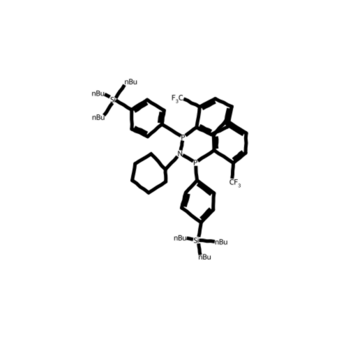 CCCC[Si](CCCC)(CCCC)c1ccc(P(c2ccccc2C(F)(F)F)N(C2CCCCC2)P(c2ccc([Si](CCCC)(CCCC)CCCC)cc2)c2ccccc2C(F)(F)F)cc1